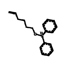 C=CCCCCO[SiH](c1ccccc1)c1ccccc1